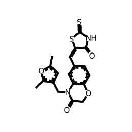 Cc1cc(CN2C(=O)COc3ccc(C=C4SC(=S)NC4=O)cc32)c(C)o1